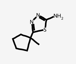 CC1(c2nnc(N)s2)CCCC1